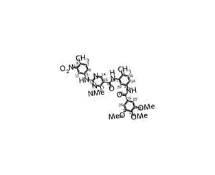 CNc1nc(Nc2ccc(C)c([N+](=O)[O-])c2)ncc1C(=O)Nc1cc(NC(=O)c2cc(OC)c(OC)c(OC)c2)ccc1C